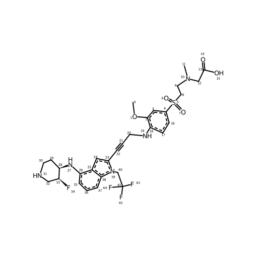 COc1cc(S(=O)(=O)CCN(C)CC(=O)O)ccc1NCC#Cc1cc2c(N[C@@H]3CCNC[C@@H]3F)cccc2n1CC(F)(F)F